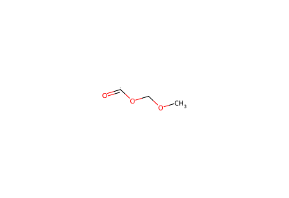 COCO[C]=O